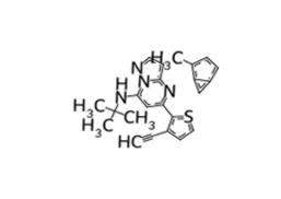 C#Cc1ccsc1-c1cc(NC(C)(C)C)n2nccc2n1.Cc1ccc2cc1-2